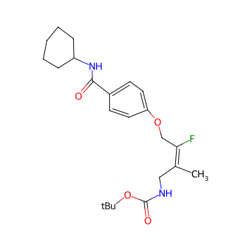 CC(CNC(=O)OC(C)(C)C)=C(F)COc1ccc(C(=O)NC2CCCCC2)cc1